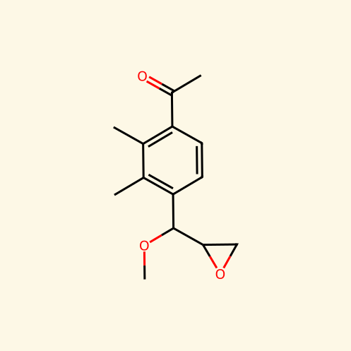 COC(c1ccc(C(C)=O)c(C)c1C)C1CO1